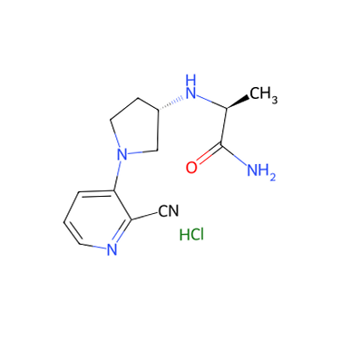 C[C@H](N[C@H]1CCN(c2cccnc2C#N)C1)C(N)=O.Cl